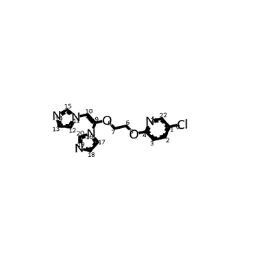 Clc1ccc(OCCOC(=Cn2ccnc2)n2ccnc2)nc1